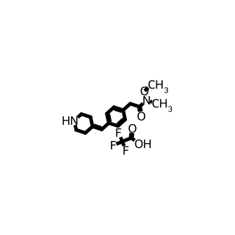 CON(C)C(=O)Cc1ccc(C=C2CCNCC2)cc1.O=C(O)C(F)(F)F